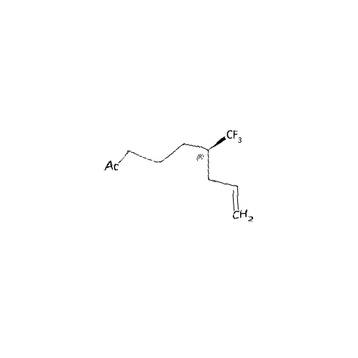 [CH2]C(=O)CCC[C@H](CC=C)C(F)(F)F